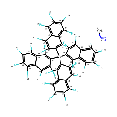 C[NH3+].Fc1c(F)c(F)c2c(F)c([B-](c3c(F)c(F)c4c(F)c(F)c(F)c(F)c4c3F)(c3c(F)c(F)c4c(F)c(F)c(F)c(F)c4c3F)c3c(F)c(F)c4c(F)c(F)c(F)c(F)c4c3F)c(F)c(F)c2c1F